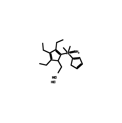 CCC1=C(CC)C(CC)[C]([Hf]([CH3])([CH3])(=[SiH2])[C]2=CC=CC2)=C1CC.Cl.Cl